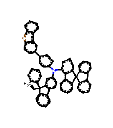 C=CC1(c2ccccc2)c2ccccc2-c2ccc(N(c3ccc(-c4ccc5sc6ccccc6c5c4)cc3)c3cccc4c3-c3ccccc3C43c4ccccc4-c4ccccc43)cc21